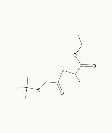 CCOC(=O)C(C)CC(=O)CSC(C)(C)C